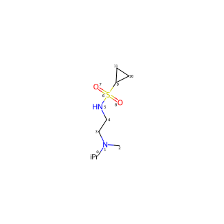 CC(C)N(C)CCNS(=O)(=O)C1CC1